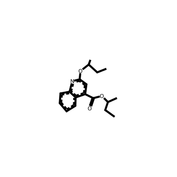 CCC(C)OC(=O)c1cc(OC(C)CC)nc2ccccc12